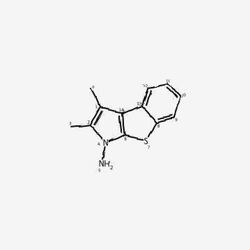 Cc1c(C)n(N)c2sc3ccccc3c12